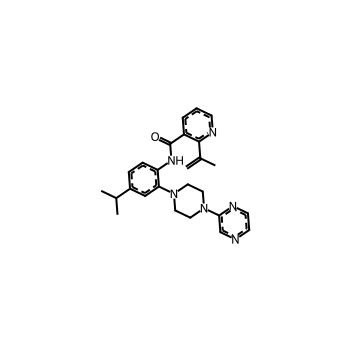 C=C(C)c1ncccc1C(=O)Nc1ccc(C(C)C)cc1N1CCN(c2cnccn2)CC1